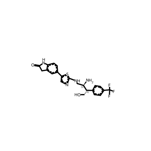 N[C@H](CNc1ncc(-c2ccc3c(c2)CC(=O)N3)s1)[C@@H](CO)c1ccc(C(F)(F)F)cc1